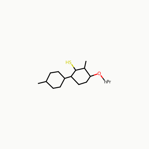 CCCOC1CCC(C2CCC(C)CC2)C(S)C1C